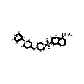 CC(=O)Nc1cccc2cc(S(=O)(=O)N3CCN(CC4CCN(c5ccncc5)CC4)CC3)ccc12